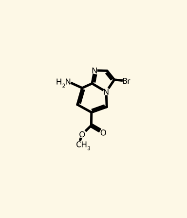 COC(=O)c1cc(N)c2ncc(Br)n2c1